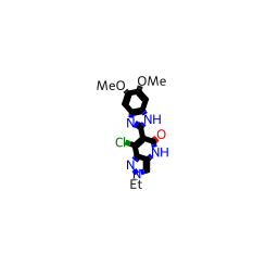 CCn1cc2[nH]c(=O)c(-c3nc4cc(OC)c(OC)cc4[nH]3)c(Cl)c2n1